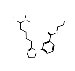 CN(C)C(C=O)CCCCC1=NCC[SH]1c1cccc(C(=O)NCCF)c1